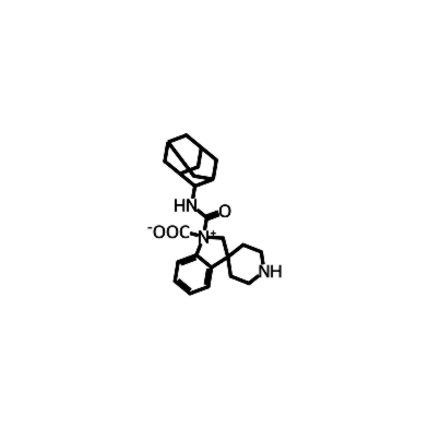 O=C([O-])[N+]1(C(=O)NC2C3CC4CC(C3)CC2C4)CC2(CCNCC2)c2ccccc21